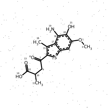 COc1cc2sc(C(=O)CC(C)C(=O)O)c(C)c2c(N)c1O